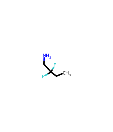 CCC(F)(F)CN